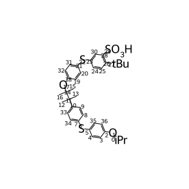 CC(C)Oc1ccc(Sc2ccc(C(C)(C)C(C)(C)Oc3ccc(Sc4ccc(C(C)(C)C)c(S(=O)(=O)O)c4)cc3)cc2)cc1